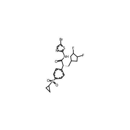 O=C(Nc1ncc(Br)s1)[C@H](CC1CC(F)C(F)C1)c1ccc(S(=O)(=O)C2CC2)cc1